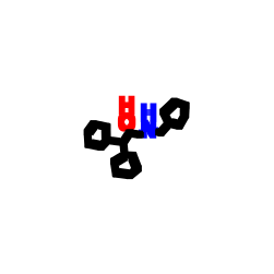 OC(CNCc1ccccc1)C(c1ccccc1)c1ccccc1